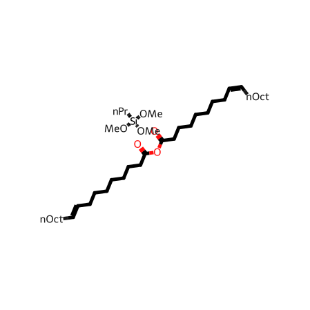 CCCCCCCCC=CCCCCCCCC(=O)OC(=O)CCCCCCC/C=C\CCCCCCCC.CCC[Si](OC)(OC)OC